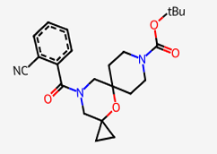 CC(C)(C)OC(=O)N1CCC2(CC1)CN(C(=O)c1ccccc1C#N)CC1(CC1)O2